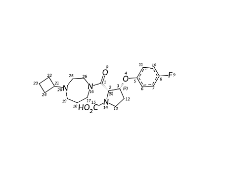 O=C([C@@H]1[C@H](Oc2ccc(F)cc2)CCN1C(=O)O)N1CCCN(C2CCC2)CC1